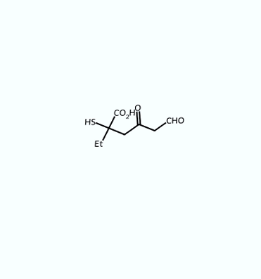 CCC(S)(CC(=O)CC=O)C(=O)O